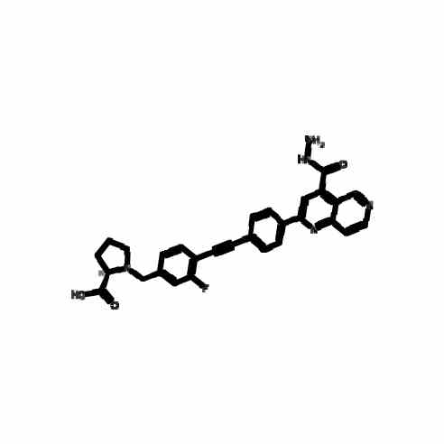 NNC(=O)c1cc(-c2ccc(C#Cc3ccc(CN4CCC[C@@H]4C(=O)O)cc3F)cc2)nc2ccncc12